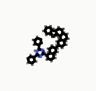 c1ccc(-c2nc(-c3ccccc3)nc(-c3cccc4cc(-c5ccc6ccc7ccc8c9ccccc9[se]c8c7c6c5)ccc34)n2)cc1